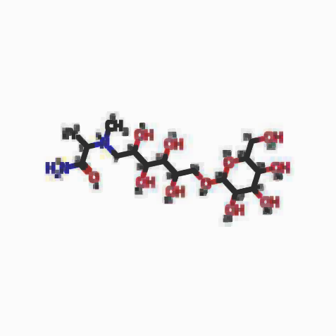 CC(C)C(C(N)=O)N(C)CC(O)C(O)C(O)C(O)COC1OC(CO)C(O)C(O)C1O